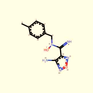 Cc1ccc(CN(O)C(=N)c2nonc2N)cc1